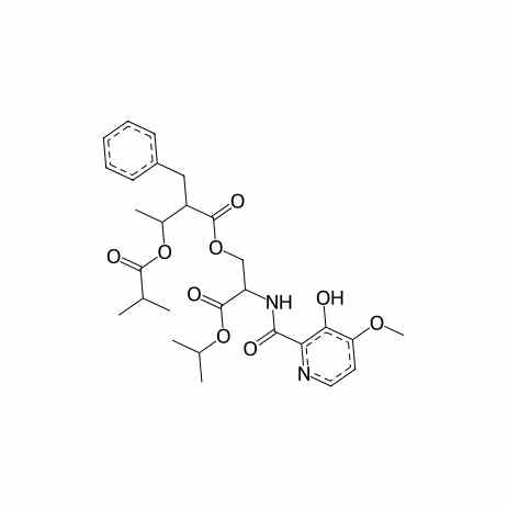 COc1ccnc(C(=O)NC(COC(=O)C(Cc2ccccc2)C(C)OC(=O)C(C)C)C(=O)OC(C)C)c1O